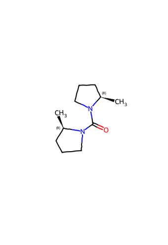 C[C@@H]1CCCN1C(=O)N1CCC[C@H]1C